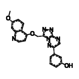 COc1ccc2c(OCc3nnc4ncc(-c5cccc(O)c5)nn34)ccnc2c1